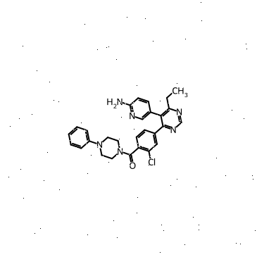 CCc1ncnc(-c2ccc(C(=O)N3CCN(c4ccccc4)CC3)c(Cl)c2)c1-c1ccc(N)nc1